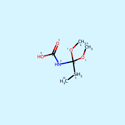 COC(NC(=O)O)(OC)[SiH2]C